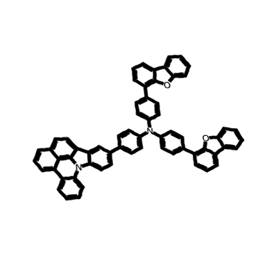 c1ccc2c(c1)oc1c(-c3ccc(N(c4ccc(-c5ccc6c(c5)c5ccc7cccc8c9ccccc9n6c5c78)cc4)c4ccc(-c5cccc6c5oc5ccccc56)cc4)cc3)cccc12